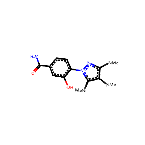 CNc1nn(-c2ccc(C(N)=O)cc2O)c(NC)c1NC